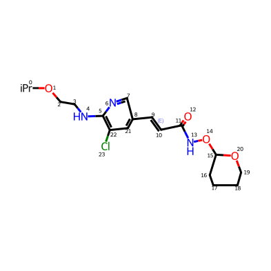 CC(C)OCCNc1ncc(/C=C/C(=O)NOC2CCCCO2)cc1Cl